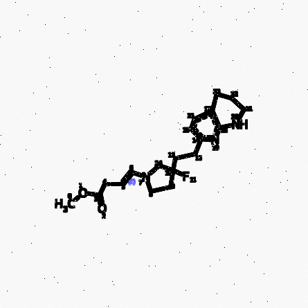 COC(=O)C/C=C/N1CCC(F)(CCc2ccc3c(n2)NCCC3)C1